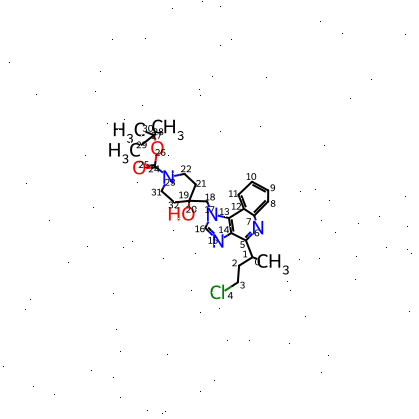 CC(CCCl)c1nc2ccccc2c2c1ncn2CC1(O)CCN(C(=O)OC(C)(C)C)CC1